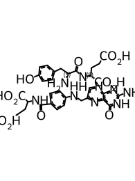 N[C@@H](Cc1ccc(O)cc1)C(=O)N[C@@H](CCC(=O)O)C(=O)O.Nc1nc2ncc(CNc3ccc(C(=O)NC(CCC(=O)O)C(=O)O)cc3)nc2c(=O)[nH]1